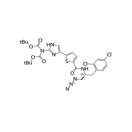 CC(C)(C)OC(=O)N(C(=O)OC(C)(C)C)c1nc(-c2ccc(C(=O)N[C@H](CN=[N+]=[N-])Cc3ccc(Cl)cc3Cl)s2)c[nH]1